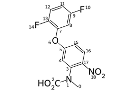 CN(C(=O)O)c1cc(Oc2cc(F)ccc2F)ccc1[N+](=O)[O-]